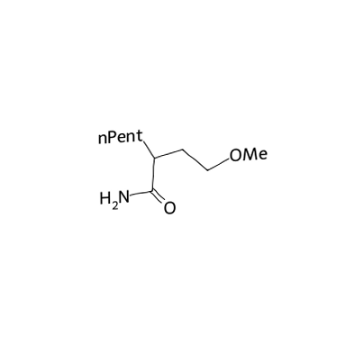 [CH2]OCCC(CCCCC)C(N)=O